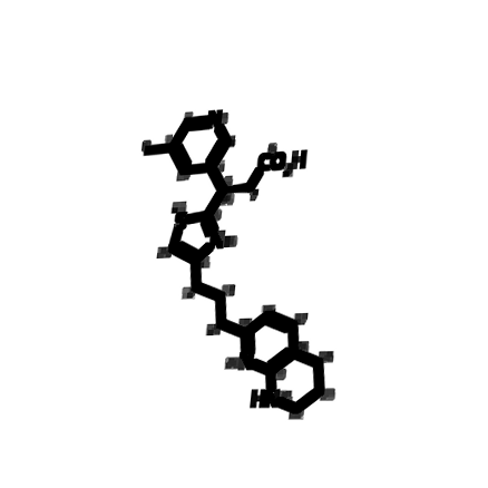 Cc1cncc([C@@H](CC(=O)O)c2nc(CCCc3ccc4c(n3)NCCC4)cs2)c1